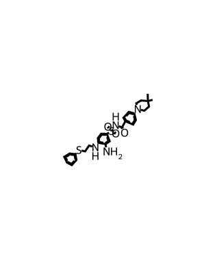 CC1(C)CCN(c2ccc(C(=O)NS(=O)(=O)c3ccc(NCCSc4ccccc4)c(N)c3)cc2)CC1